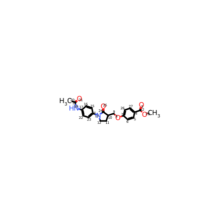 COC(=O)c1ccc(OCC2CCN(c3ccc(NC(C)=O)cc3)C2=O)cc1